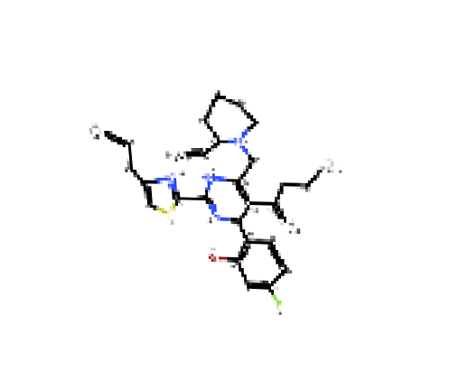 C=CCc1csc(C2=NC(c3ccc(F)cc3Br)C(C(=C)CCC)=C(CN3CCCCC3C=C)N2)n1